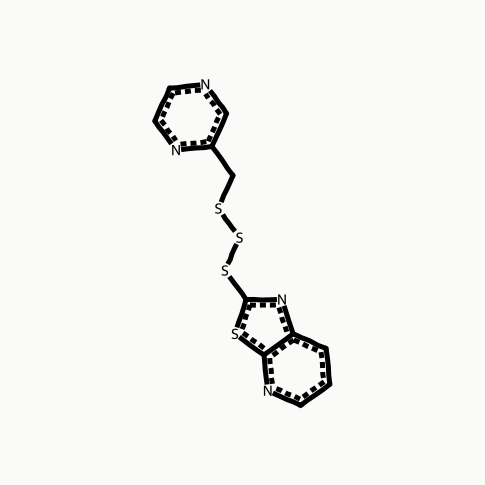 c1cnc2sc(SSSCc3cnccn3)nc2c1